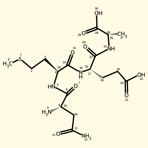 CSCC[C@H](NC(=O)[C@@H](N)CC(N)=O)C(=O)N[C@@H](CCC(=O)O)C(=O)N[C@@H](C)C(=O)O